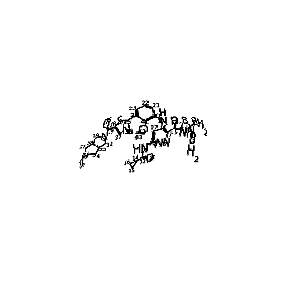 BC(B)(B)NC(=O)c1nnc(NC(=O)C2CC2)cc1Nc1cccc(-c2ncc(C(=O)N3CC4CN(C)CC4C3)s2)c1OC